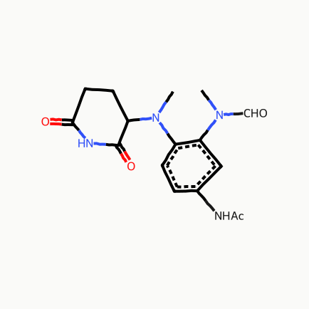 CC(=O)Nc1ccc(N(C)C2CCC(=O)NC2=O)c(N(C)C=O)c1